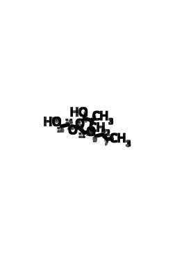 C=C(C)C(=O)O.CCCCOCCOCCO